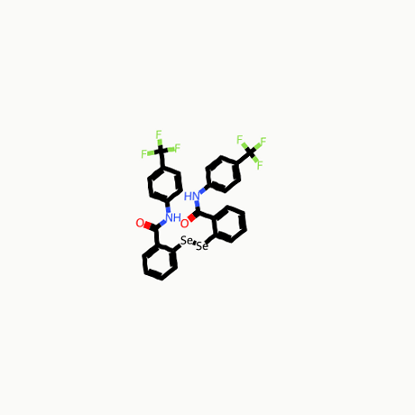 O=C(Nc1ccc(C(F)(F)F)cc1)c1ccccc1[Se][Se]c1ccccc1C(=O)Nc1ccc(C(F)(F)F)cc1